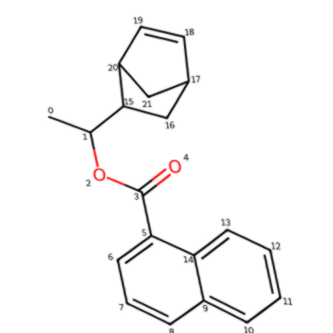 CC(OC(=O)c1cccc2ccccc12)C1CC2C=CC1C2